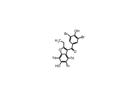 [2H]c1c(O)c([2H])c2oc(CC)c(C(=O)c3cc(Br)c(O)c(Br)c3)c2c1[2H]